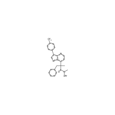 CCCN(C)C(=O)C(C)(Cc1ccccc1)c1ccnc2c(-c3ccc(C(F)(F)F)cc3)cnn12